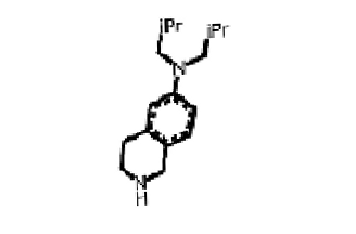 CC(C)CN(CC(C)C)c1ccc2c(c1)CCNC2